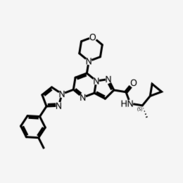 Cc1cccc(-c2ccn(-c3cc(N4CCOCC4)n4nc(C(=O)N[C@@H](C)C5CC5)cc4n3)n2)c1